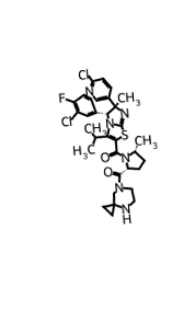 CC(C)C1=C(C(=O)N2[C@H](C)CC[C@@H]2C(=O)N2CCNC3(CC3)C2)SC2=N[C@@](C)(c3ccc(Cl)nc3)[C@@H](c3ccc(F)c(Cl)c3)N21